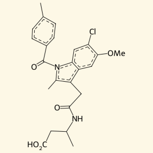 COc1cc2c(CC(=O)NC(C)CC(=O)O)c(C)n(C(=O)c3ccc(C)cc3)c2cc1Cl